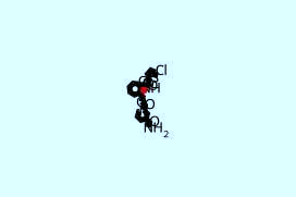 NC(=O)C1CCCN(C(=O)OCC23CCCCC(CC2)C3NS(=O)(=O)c2ccc(Cl)s2)C1